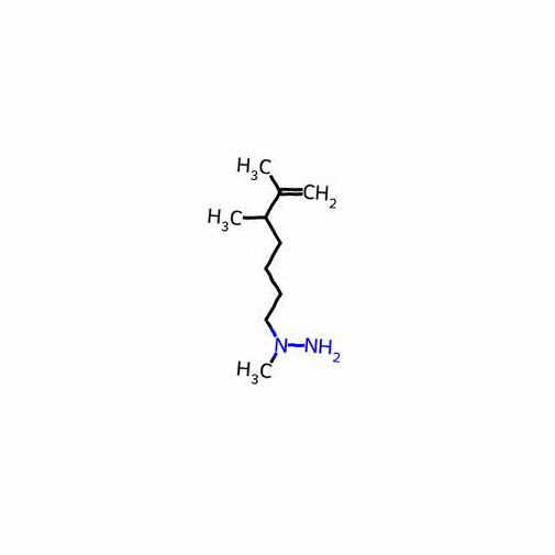 C=C(C)C(C)CCCCN(C)N